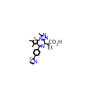 CC[C@H](C(=O)O)C1N=C(c2ccc(-c3nccs3)cc2)c2c(sc(C)c2C)-n2c(C)nnc21